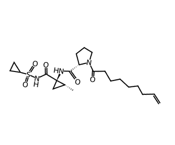 C=CCCCCCCC(=O)N1CCC[C@H]1C(=O)N[C@]1(C(=O)NS(=O)(=O)C2CC2)C[C@H]1C